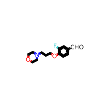 O=Cc1ccc(OCCCN2CCOCC2)c(F)c1